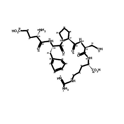 N=C(N)NCCC[C@H](NC(=O)[C@H](CO)NC(=O)[C@@H]1CCCN1C(=O)[C@H](Cc1ccccc1)NC(=O)[C@@H](N)CCC(=O)O)C(=O)O